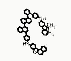 CC1(C)C2=C(CCC=C2)c2ccc(Nc3ccc(-c4ccccc4-c4cccc5c(-c6ccc(-c7ccc(Nc8ccc9c(c8)oc8ccc%10ccccc%10c89)cc7)c7ccccc67)cccc45)cc3)cc21